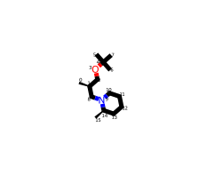 C[C@@H](COC(C)(C)C)CN1CCCC[C@H]1C